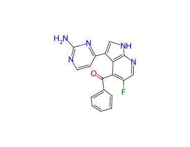 Nc1nccc(-c2c[nH]c3ncc(F)c(C(=O)c4ccccc4)c23)n1